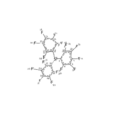 Fc1c(F)c(F)c([S+](c2c(F)c(F)c(F)c(F)c2F)c2c(F)c(F)c(F)c(F)c2F)c(F)c1F